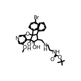 COc1cncc2c1C1(O)[C@H](O)C(CNCCNC(=O)OC(C)(C)C)C(c3ccccc3)C1(c1ccc(Br)cc1)O2